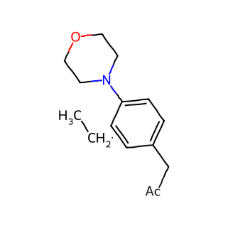 CC(=O)Cc1ccc(N2CCOCC2)cc1.[CH2]C